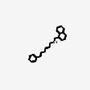 C(=CCNCc1cccc2ccccc12)CC=Cc1ccccc1